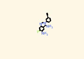 C#Cc1cccc(N2C=Nc3cc(F)c(N)cc3C2N)c1